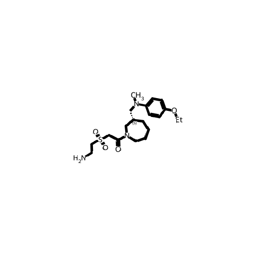 CCOc1ccc(N(C)C[C@@H]2CCCCN(C(=O)CS(=O)(=O)CCN)C2)cc1